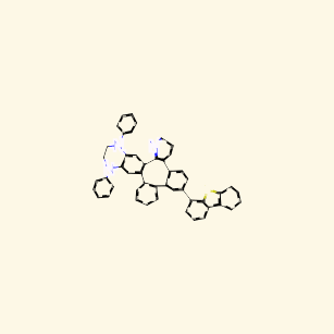 c1ccc(N2CCN(c3ccccc3)c3cc4c(cc32)-c2ccccc2-c2cc(-c3cccc5c3sc3ccccc35)ccc2-c2cccnc2-4)cc1